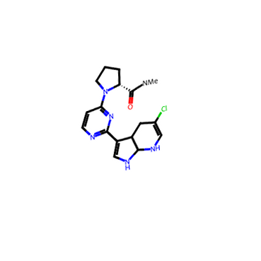 CNC(=O)[C@H]1CCCN1c1ccnc(C2=CNC3NC=C(Cl)CC23)n1